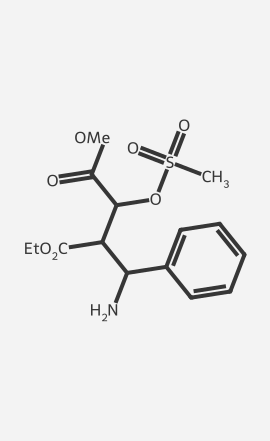 CCOC(=O)C(C(OS(C)(=O)=O)C(=O)OC)C(N)c1ccccc1